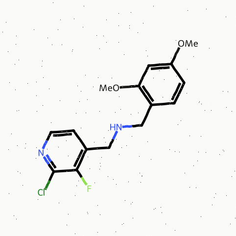 COc1ccc(CNCc2ccnc(Cl)c2F)c(OC)c1